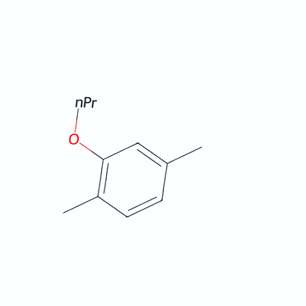 [CH2]CCOc1cc(C)ccc1C